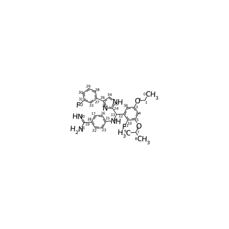 CCOc1cc(OC(C)C)c(F)c(C(Nc2ccc(C(=N)N)cc2)c2nc(-c3cccc(F)c3)c[nH]2)c1